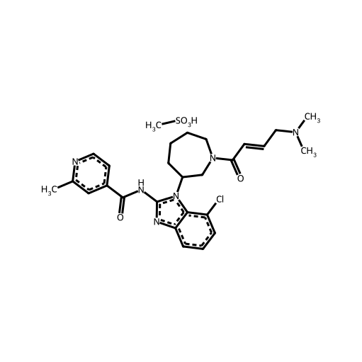 CS(=O)(=O)O.Cc1cc(C(=O)Nc2nc3cccc(Cl)c3n2C2CCCCN(C(=O)C=CCN(C)C)C2)ccn1